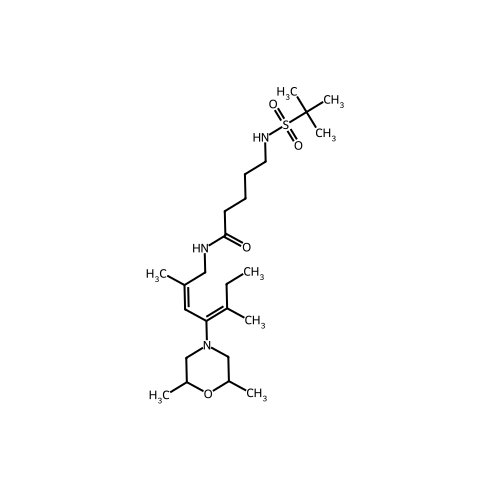 CC/C(C)=C(\C=C(\C)CNC(=O)CCCCNS(=O)(=O)C(C)(C)C)N1CC(C)OC(C)C1